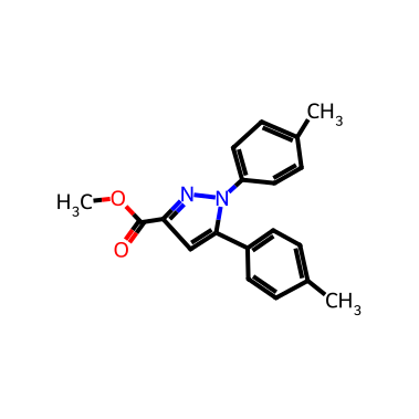 COC(=O)c1cc(-c2ccc(C)cc2)n(-c2ccc(C)cc2)n1